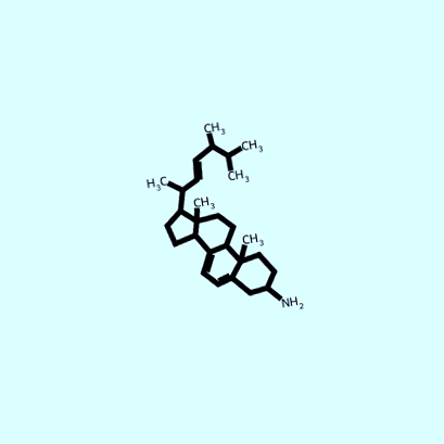 CC(C)C(C)/C=C/C(C)C1CCC2C3=CC=C4CC(N)CCC4(C)C3CCC21C